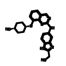 OCc1nc2cc(Nc3ncc4cccc(O[C@H]5CC[C@@H](O)CC5)c4n3)ccc2[nH]1